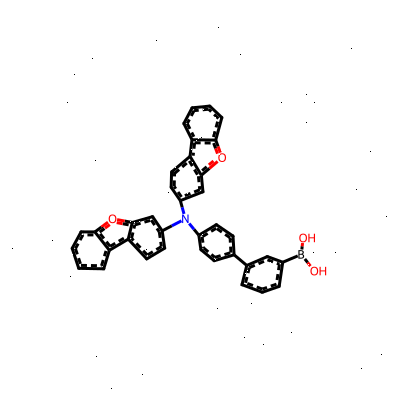 OB(O)c1cccc(-c2ccc(N(c3ccc4c(c3)oc3ccccc34)c3ccc4c(c3)oc3ccccc34)cc2)c1